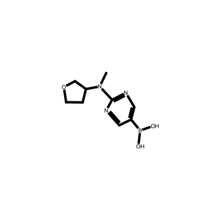 CN(c1ncc(B(O)O)cn1)C1CCOC1